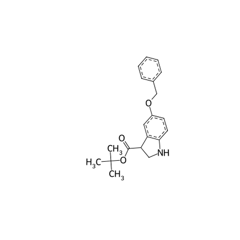 CC(C)(C)OC(=O)C1CNc2ccc(OCc3ccccc3)cc21